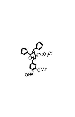 CCOC(=O)C[C@H](CCc1ccc(OC)c(OC)c1)N(Cc1ccccc1)C(C)c1ccccc1